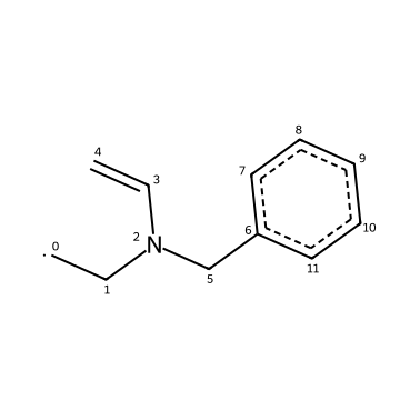 [CH2]CN(C=C)Cc1ccccc1